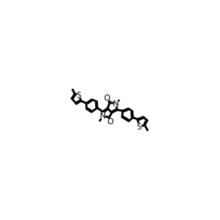 Cc1ccc(-c2ccc(C3=C4C(=O)N(C)C(c5ccc(-c6ccc(C)s6)cc5)=C4C(=O)N3C)cc2)s1